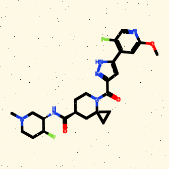 COc1cc(-c2cc(C(=O)N3CC[C@H](C(=O)N[C@H]4CN(C)CC[C@@H]4F)CC34CC4)n[nH]2)c(F)cn1